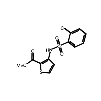 COC(=O)c1sccc1NS(=O)(=O)c1ccccc1Cl